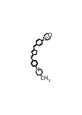 CC1CCN(c2ccc(/C=C3/C=C(C=C4C=CC(=[N+]5CCOCC5)C=C4)CC3)cc2)CC1